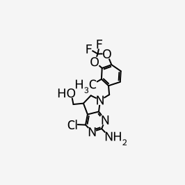 Cc1c(CN2CC(CO)c3c(Cl)nc(N)nc32)ccc2c1OC(F)(F)O2